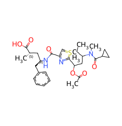 CC(=O)OC(CC(C(C)C)N(C)C(=O)C1CC1)c1nc(C(=O)N[C@@H](Cc2ccccc2)C[C@H](C)C(=O)O)cs1